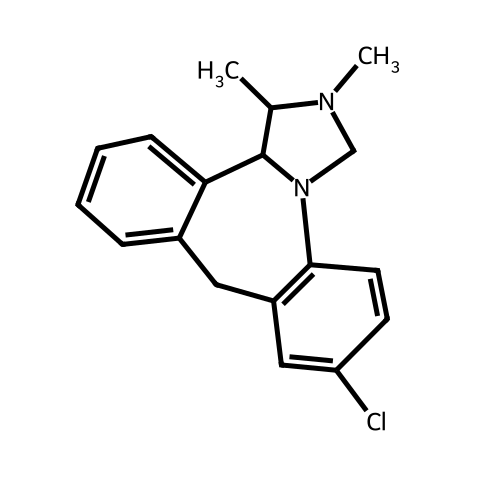 CC1C2c3ccccc3Cc3cc(Cl)ccc3N2CN1C